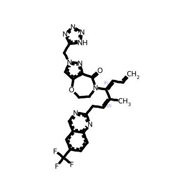 C=C/C=C(\C(C)=C/Cc1ncc2cc(C(F)(F)F)ccc2n1)N1CCOc2cn(Cc3nnn[nH]3)nc2C1=O